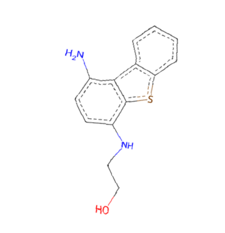 Nc1ccc(NCCO)c2sc3ccccc3c12